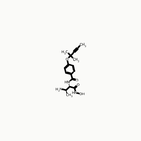 CC#CC(C)(C)Oc1ccc(C(=O)N[C@H](C(=O)NO)[C@@H](C)N)cc1